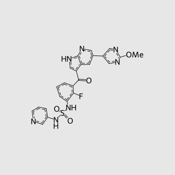 COc1ncc(-c2cnc3[nH]cc(C(=O)c4cccc(NS(=O)(=O)Nc5cccnc5)c4F)c3c2)cn1